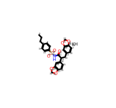 CCCc1ccc(S(=O)(=O)NC(=O)C(Cc2ccc3c(c2)OCO3)c2ccc3c(c2)OCO3)cc1.[KH]